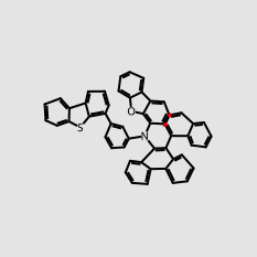 c1cc(-c2cccc3c2sc2ccccc23)cc(N(c2c(-c3cccc4ccccc34)c3ccccc3c3ccccc23)c2cccc3c2oc2ccccc23)c1